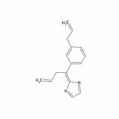 C=CCC(=C1N=CC=N1)c1cccc(CC=C)c1